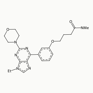 CCn1cnc2c(-c3cccc(OCCCC(=O)NC)c3)nc(N3CCOCC3)nc21